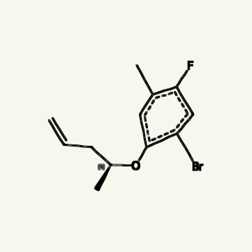 C=CC[C@H](C)Oc1cc(C)c(F)cc1Br